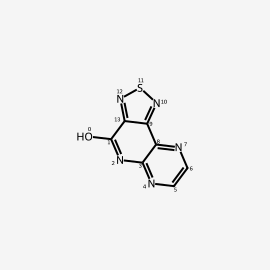 Oc1nc2nccnc2c2nsnc12